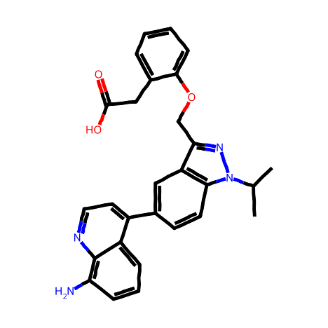 CC(C)n1nc(COc2ccccc2CC(=O)O)c2cc(-c3ccnc4c(N)cccc34)ccc21